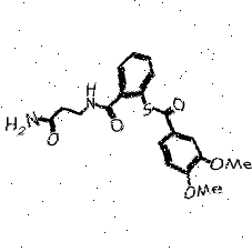 COc1ccc(C(=O)Sc2ccccc2C(=O)NCCC(N)=O)cc1OC